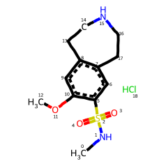 CNS(=O)(=O)c1cc2c(cc1OC)CCNCC2.Cl